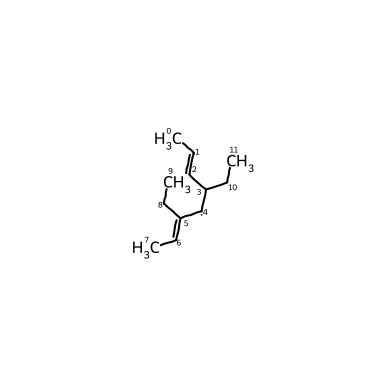 CC=CC([CH]/C(=C/C)CC)CC